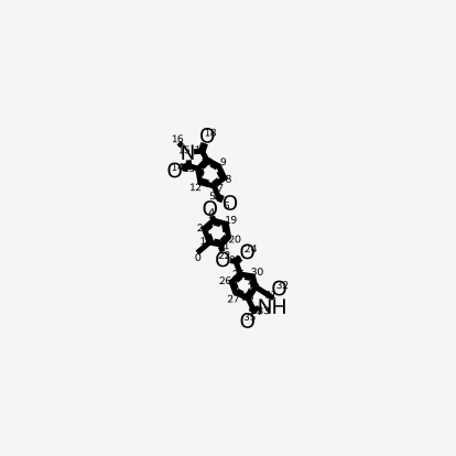 Cc1cc(OC(=O)c2ccc3c(c2)C(=O)N(C)C3=O)ccc1OC(=O)c1ccc2c(c1)C(=O)NC2=O